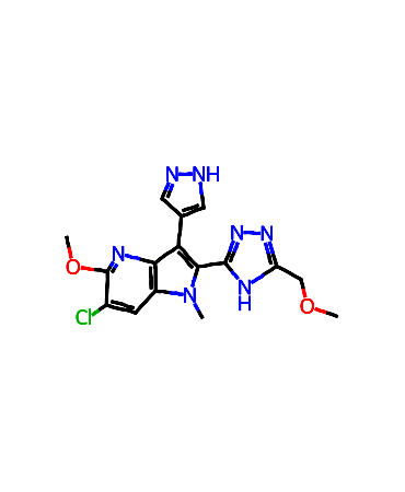 COCc1nnc(-c2c(-c3cn[nH]c3)c3nc(OC)c(Cl)cc3n2C)[nH]1